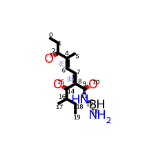 CCC(=O)/C(C)=C/C=C(/C(=O)NBN)C(=O)C(C)CC